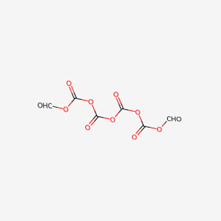 O=COC(=O)OC(=O)OC(=O)OC(=O)OC=O